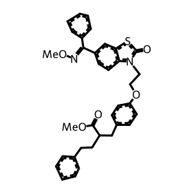 CO/N=C(\c1ccccc1)c1ccc2c(c1)sc(=O)n2CCOc1ccc(CC(CCc2ccccc2)C(=O)OC)cc1